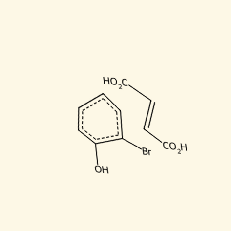 O=C(O)C=CC(=O)O.Oc1ccccc1Br